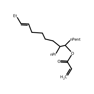 C=CC(=O)OC(CCCCC)C(CCC)CCCCC=CCC